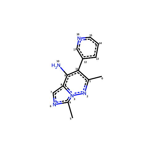 Cc1nn2c(C)ncc2c(N)c1-c1cccnc1